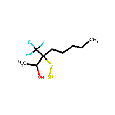 CCCCCC(SS)(C(C)O)C(F)(F)F